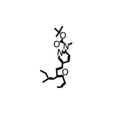 C/C=C\c1oc(-c2ccc(N(C)C(=O)OC(C)(C)C)nc2)cc1/C=C(/C)CC